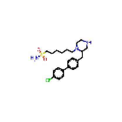 NS(=O)(=O)CCCCCCN1CCNCC1Cc1ccc(-c2ccc(Cl)cc2)cc1